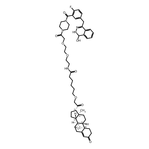 C[C@]12CC[C@H]3[C@@H](CCC4=CC(=O)CC[C@@]43C)[C@@H]1CC[C@@H]2C(=O)COCCCCCC(=O)NCCOCCOCC(=O)N1CCN(C(=O)c2cc(CC3=NNC(O)c4ccccc43)ccc2F)CC1